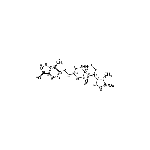 CC1=C(N2CCNC3(CCN(CCc4ccc5c(c4C)COC5=O)CC3)C2=O)COC1=O